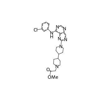 COC(=O)CN1CCC(C2CCN(c3ncc4ncnc(Nc5cccc(Cl)c5)c4n3)CC2)CC1